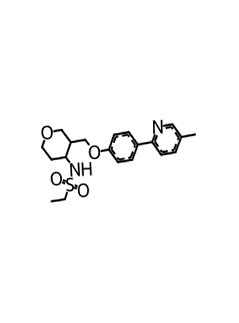 CCS(=O)(=O)NC1CCOCC1COc1ccc(-c2ccc(C)cn2)cc1